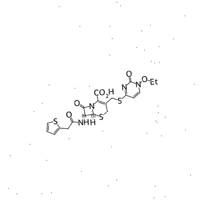 CCOn1ccc(SCC2=C(C(=O)O)N3C(=O)[C@@H](NC(=O)Cc4cccs4)[C@@H]3SC2)nc1=O